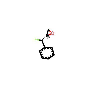 FC(c1ccccc1)[C@@H]1CO1